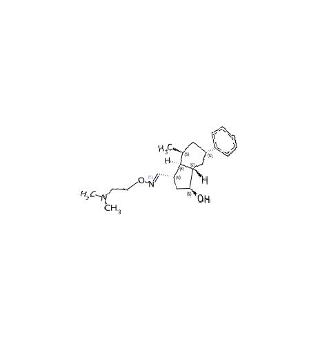 C[C@H]1C[C@H](c2ccccc2)C[C@H]2[C@H]1[C@@H](/C=N/OCCN(C)C)C[C@@H]2O